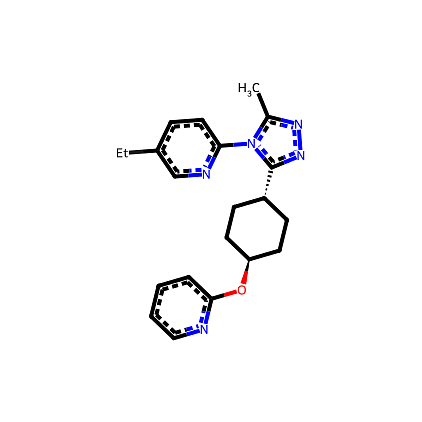 CCc1ccc(-n2c(C)nnc2[C@H]2CC[C@H](Oc3ccccn3)CC2)nc1